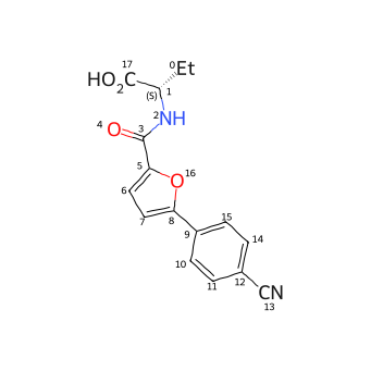 CC[C@H](NC(=O)c1ccc(-c2ccc(C#N)cc2)o1)C(=O)O